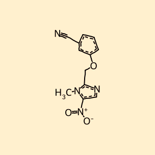 Cn1c([N+](=O)[O-])cnc1COc1cccc(C#N)c1